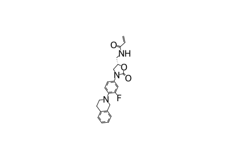 C=CC(=O)NC[C@H]1CN(c2ccc(N3CCc4ccccc4C3)c(F)c2)C(=O)O1